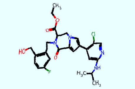 CCOC(=O)C1Cn2cc(-c3cc(NC(C)C)ncc3Cl)cc2C(=O)N1Cc1cc(F)ccc1CO